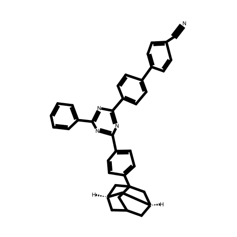 N#Cc1ccc(-c2ccc(-c3nc(-c4ccccc4)nc(-c4ccc(C56CC7C[C@H](C5)C[C@@H](C7)C6)cc4)n3)cc2)cc1